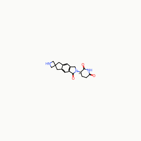 O=C1CC[C@@H](N2Cc3cc4c(cc3C2=O)CC2(CNC2)C4)C(=O)N1